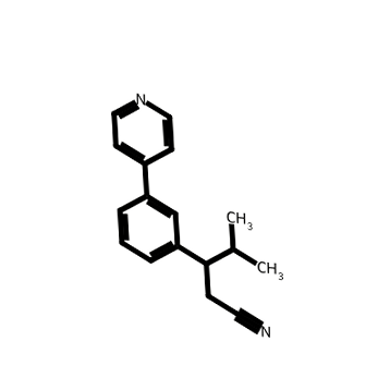 CC(C)C(CC#N)c1cccc(-c2ccncc2)c1